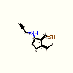 C#CCNC1CCC(=C/C)/C1=C\S